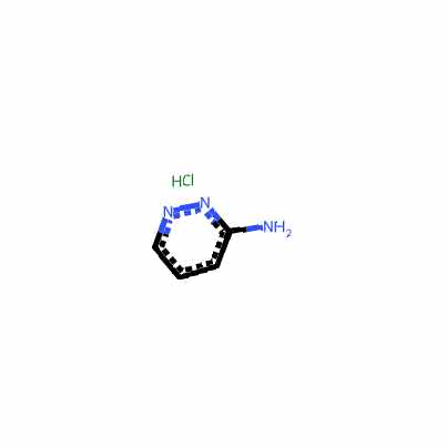 Cl.Nc1cccnn1